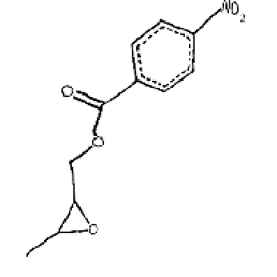 CC1OC1COC(=O)c1ccc([N+](=O)[O-])cc1